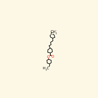 [CH2-][C+]1CCC(CCCCC2CCC(C(=O)OC3CCC(CC)CC3)CC2)CC1